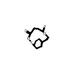 O=C1CCC(=O)OCC2CCC(CC2)CO1